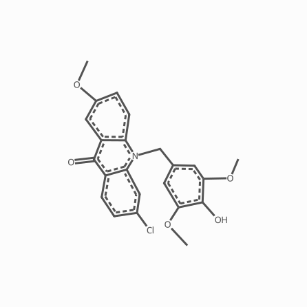 COc1ccc2c(c1)c(=O)c1ccc(Cl)cc1n2Cc1cc(OC)c(O)c(OC)c1